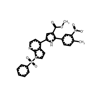 COC(=O)c1cc(-c2ccnc3c2ccn3S(=O)(=O)c2ccccc2)[nH]c1-c1ccc(C)c([N+](=O)[O-])c1